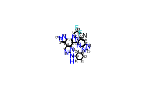 Cn1cc(-c2cnc(N[C@@H]3CCC[C@H](n4cnc5cc(C#N)cnc54)C3)nc2-c2cnn(CC(F)F)c2)cn1